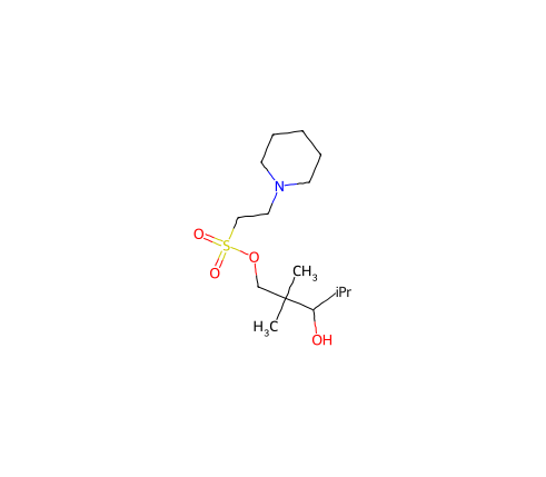 CC(C)C(O)C(C)(C)COS(=O)(=O)CCN1CCCCC1